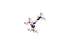 CC(C)OC[C@@H]1C[C@@H](OC(C)C)CN1C(=O)CSSCCC(=O)C(C)C